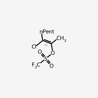 CCCCC/C(Cl)=C(\C)OS(=O)(=O)C(F)(F)F